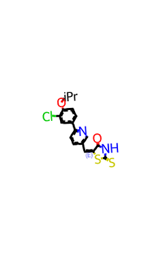 CC(C)Oc1ccc(-c2ccc(/C=C3/SC(=S)NC3=O)cn2)cc1Cl